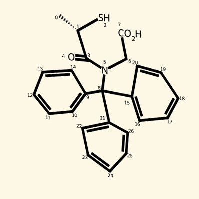 C[C@H](S)C(=O)N(CC(=O)O)C(c1ccccc1)(c1ccccc1)c1ccccc1